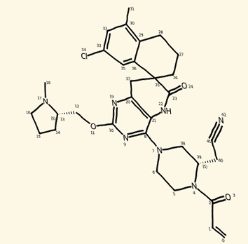 C=CC(=O)N1CCN(c2nc(OC[C@@H]3CCCN3C)nc3c2NC(=O)C2(CCCc4c(C)cc(Cl)cc42)C3)C[C@@H]1CC#N